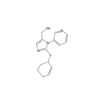 OCc1cnc(SC2C=CCCC2)n1-c1cccnc1